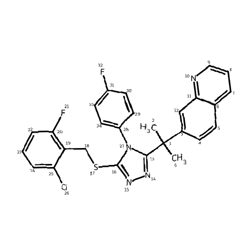 CC(C)(c1ccc2cccnc2c1)c1nnc(SCc2c(F)cccc2Cl)n1-c1ccc(F)cc1